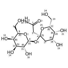 NC(=O)C[C@@]1(O[C@@H]2O[C@H](CO)[C@H](O)[C@H](O)[C@H]2O)C[C@@H](O)[C@@H](O)[C@@H](CO)O1